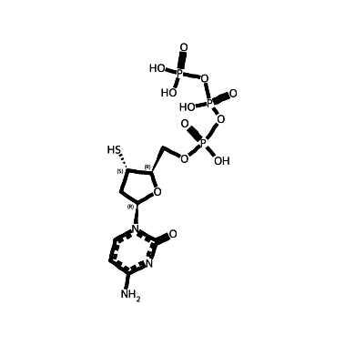 Nc1ccn([C@H]2C[C@H](S)[C@@H](COP(=O)(O)OP(=O)(O)OP(=O)(O)O)O2)c(=O)n1